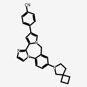 N#Cc1ccc(-c2cc3n(c2)Cc2cc(N4CCC5(CCC5)C4)ccc2-n2ccnc2-3)cc1